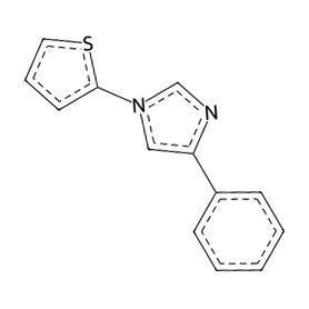 c1ccc(-c2cn(-c3cccs3)cn2)cc1